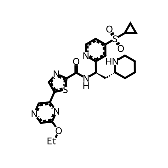 CCOc1cncc(-c2cnc(C(=O)N[C@H](C[C@H]3CCCCN3)c3cc(S(=O)(=O)C4CC4)ccn3)s2)n1